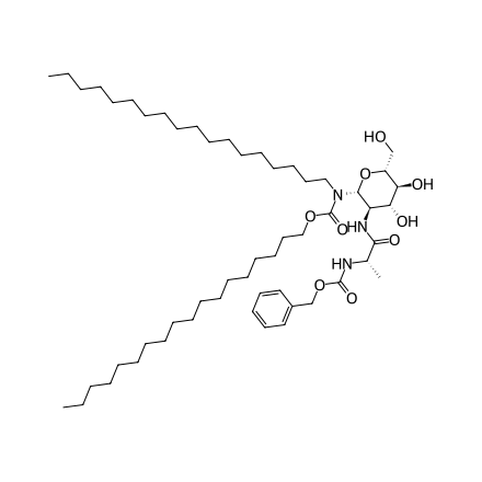 CCCCCCCCCCCCCCCCCCOC(=O)N(CCCCCCCCCCCCCCCCCC)[C@@H]1O[C@H](CO)[C@@H](O)[C@H](O)[C@H]1NC(=O)[C@H](C)NC(=O)OCc1ccccc1